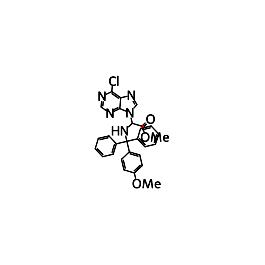 COC(=O)C(NC(c1ccccc1)(c1ccccc1)c1ccc(OC)cc1)n1cnc2c(Cl)ncnc21